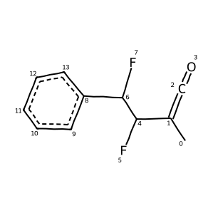 CC(=C=O)C(F)C(F)c1ccccc1